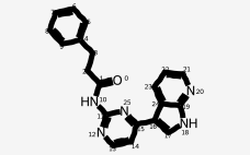 O=C(CCc1ccccc1)Nc1nccc(-c2c[nH]c3ncccc23)n1